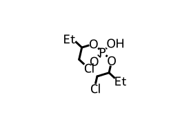 CCC(CCl)OP(=O)(O)OC(CC)CCl